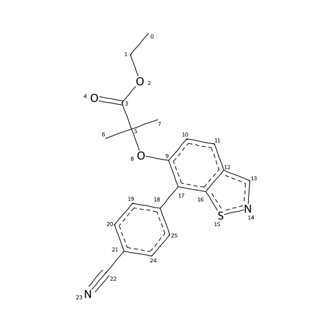 CCOC(=O)C(C)(C)Oc1ccc2cnsc2c1-c1ccc(C#N)cc1